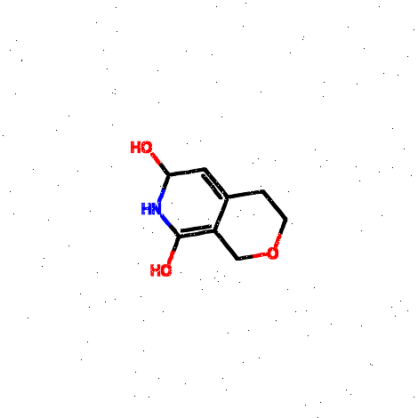 OC1=C2COCCC2=CC(O)N1